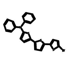 Brc1ccc(-c2ccc(-c3ccc(N(c4ccccc4)c4ccccc4)s3)s2)s1